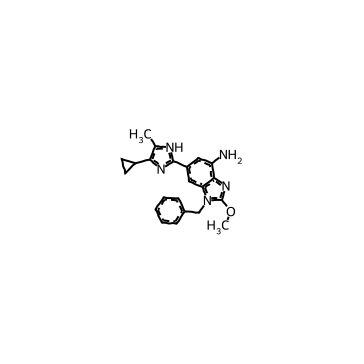 COc1nc2c(N)cc(-c3nc(C4CC4)c(C)[nH]3)cc2n1Cc1ccccc1